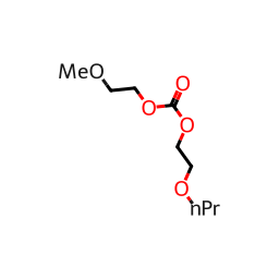 CCCOCCOC(=O)OCCOC